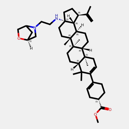 C=C(C)[C@@H]1CC[C@]2(NCCN3C[C@@H]4CC3CO4)CC[C@]3(C)[C@H](CC[C@@H]4[C@@]5(C)CC=C(C6=CC[C@@H](C(=O)OC)CC6)C(C)(C)[C@@H]5CC[C@]43C)[C@@H]12